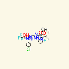 CC(=O)O[C@@H](C)c1nc(Cn2nc(-c3ccc(Cl)cc3)n(C[C@H](O)C(F)(F)F)c2=O)nn1-c1cccc(F)n1